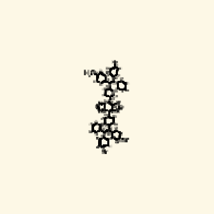 Cc1ccc(/C(=C(/c2ccccc2)c2ccc(Br)cc2)c2ccc(-c3c4c(c(-c5ccc(/C(=C(\c6ccccc6)c6ccc(Br)cc6)c6ccc(Br)cc6)cc5)c5nsnc35)N=S=N4)cc2)cc1